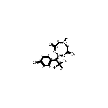 CN1CC(=O)OB(C(c2ccc(Cl)cc2)C(C)(F)F)OC(=O)C1